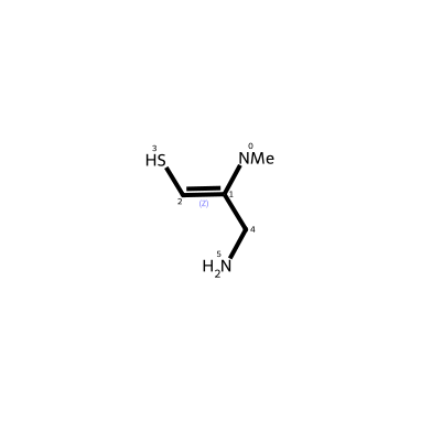 CN/C(=C\S)CN